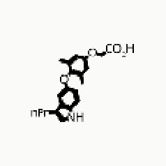 CCCc1c[nH]c2ccc(Oc3c(C)cc(OCC(=O)O)cc3C)cc12